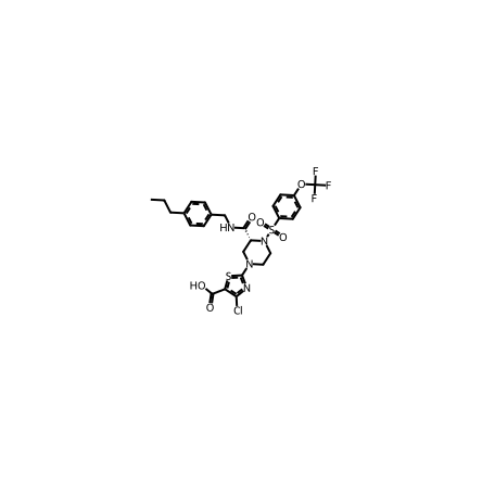 CCCc1ccc(CNC(=O)[C@H]2CN(c3nc(Cl)c(C(=O)O)s3)CCN2S(=O)(=O)c2ccc(OC(F)(F)F)cc2)cc1